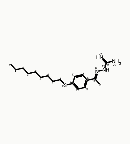 CCCCCCCCCSc1ccc(C(C)=NNC(=N)N)cc1